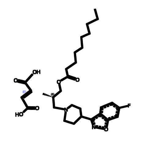 CCCCCCCCCC(=O)OC[C@@H](C)CN1CCC(c2noc3cc(F)ccc23)CC1.O=C(O)/C=C/C(=O)O